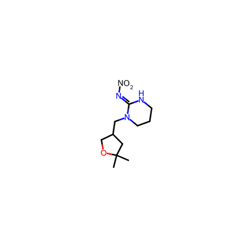 CC1(C)CC(CN2CCCNC2=N[N+](=O)[O-])CO1